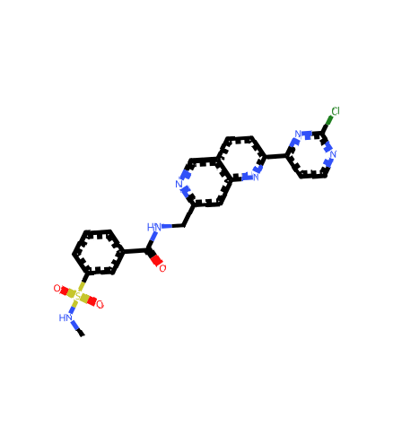 CNS(=O)(=O)c1cccc(C(=O)NCc2cc3nc(-c4ccnc(Cl)n4)ccc3cn2)c1